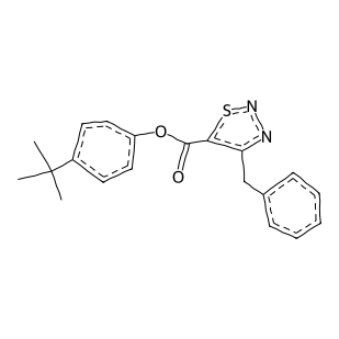 CC(C)(C)c1ccc(OC(=O)c2snnc2Cc2ccccc2)cc1